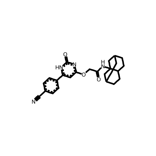 N#Cc1ccc(-c2cc(OCC(=O)NC34CC5CCC3CCC(C5)C4)nc(=O)[nH]2)cc1